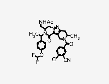 CC(=O)NCC1Cn2nc3c(c2C(=O)N1C(C)c1ccc(OC(F)F)cc1)CN(C(=O)c1ccc(Cl)c(C#N)c1)[C@H](C)C3